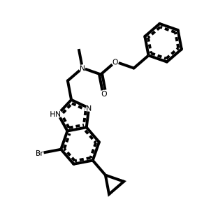 CN(Cc1nc2cc(C3CC3)cc(Br)c2[nH]1)C(=O)OCc1ccccc1